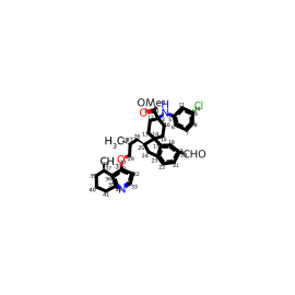 COC(=O)C1(Nc2cccc(Cl)c2)CCC2(CC1)c1cc(C=O)ccc1C[C@H]2C[C@@H](C)COc1ccnc2c1[C@H](C)CCC2